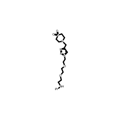 CC(C)NCCOCCOCCn1cc(CN2CCS(=O)(=O)CC2)nn1